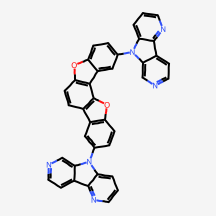 c1cnc2c3ccncc3n(-c3ccc4oc5c(ccc6oc7ccc(-n8c9cnccc9c9ncccc98)cc7c65)c4c3)c2c1